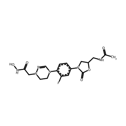 CC(=O)NCC1CN(c2ccc(N3C=NN(CC(=O)NO)CC3)c(F)c2)C(=O)O1